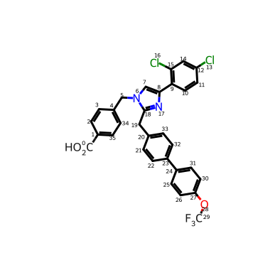 O=C(O)c1ccc(Cn2cc(-c3ccc(Cl)cc3Cl)nc2Cc2ccc(-c3ccc(OC(F)(F)F)cc3)cc2)cc1